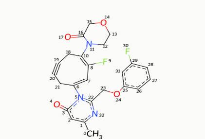 Cc1cc(=O)n(/C2=C/C(F)=C(/N3CCOCC3=O)CC#CC2)c(COc2cccc(F)c2)n1